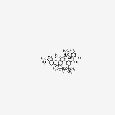 CC(c1cc(C(C)(C)C)ccc1O)c1cc(C(C)(C)C)cc(C(C)c2cc(C(C)(C)C)cc(C(C)c3cc(C(C)(C)C)ccc3O)c2O)c1O